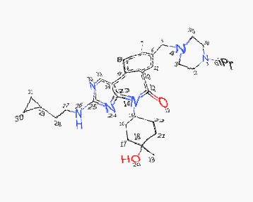 CC(C)N1CCN(Cc2ccc3c(c2)c(=O)n(C2CCC(C)(O)CC2)c2nc(NCCC4CC4)ncc32)CC1